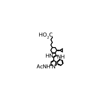 CC(=O)Nc1cc(-c2[nH]c3c(c2Nc2ccccc2)C(=C2CC2)CC(CCCCC(=O)O)C3)ccn1